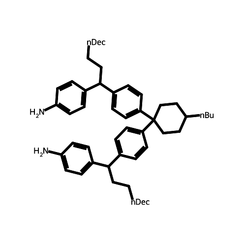 CCCCCCCCCCCCC(c1ccc(N)cc1)c1ccc(C2(c3ccc(C(CCCCCCCCCCCC)c4ccc(N)cc4)cc3)CCC(CCCC)CC2)cc1